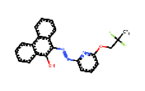 Oc1c(N=Nc2cccc(OCC(F)(F)C(F)(F)F)n2)c2ccccc2c2ccccc12